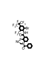 N#CCN(C(=O)c1ccccc1)c1cccc(C(=O)Nc2c(Br)cc(C(F)(C(F)(F)F)C(F)(F)F)cc2C(F)(F)F)c1F